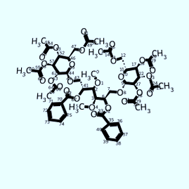 CO[C@@H]([C@H](OC)[C@@H](CO[C@@H]1O[C@H](COC(C)=O)[C@@H](OC(C)=O)[C@H](OC(C)=O)[C@H]1OC(C)=O)OC(=O)c1ccccc1)[C@@H](CO[C@@H]1O[C@H](COC(C)=O)[C@@H](OC(C)=O)[C@H](OC(C)=O)[C@H]1OC(C)=O)OC(=O)c1ccccc1